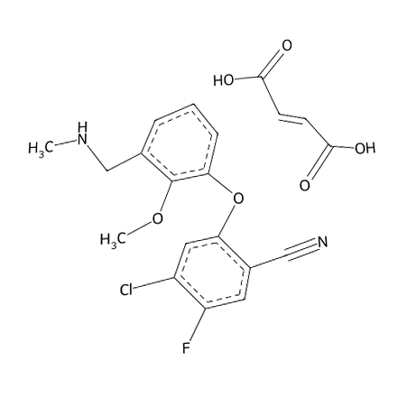 CNCc1cccc(Oc2cc(Cl)c(F)cc2C#N)c1OC.O=C(O)C=CC(=O)O